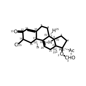 CC(=O)[C@@]1(OC=O)CC[C@H]2[C@@H]3CCC4=CC(=O)C(Cl)C[C@]4(C)C3=CC[C@@]21C